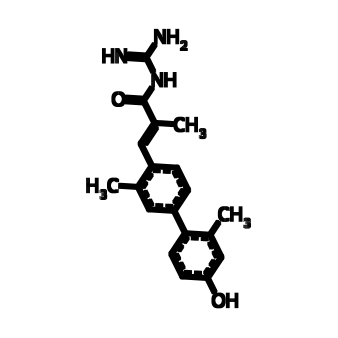 C/C(=C\c1ccc(-c2ccc(O)cc2C)cc1C)C(=O)NC(=N)N